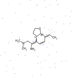 C\C=C(/C=C\C(=C(/N)CN(C)C)[C@H]1CCOC1)C(C)C